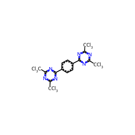 ClC(Cl)(Cl)c1nc(-c2ccc(-c3nc(C(Cl)(Cl)Cl)nc(C(Cl)(Cl)Cl)n3)cc2)nc(C(Cl)(Cl)Cl)n1